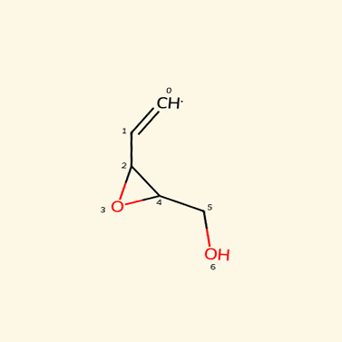 [CH]=CC1OC1CO